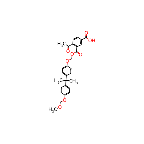 COCOc1ccc(C(C)(C)c2ccc(OCOC(=O)c3cc(C(=O)O)ccc3C(C)=O)cc2)cc1